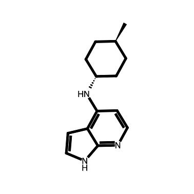 C[C@H]1CC[C@H](Nc2ccnc3[nH]ccc23)CC1